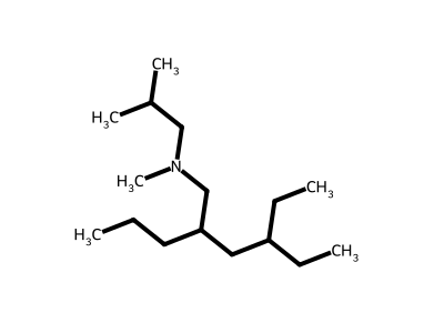 CCCC(CC(CC)CC)CN(C)CC(C)C